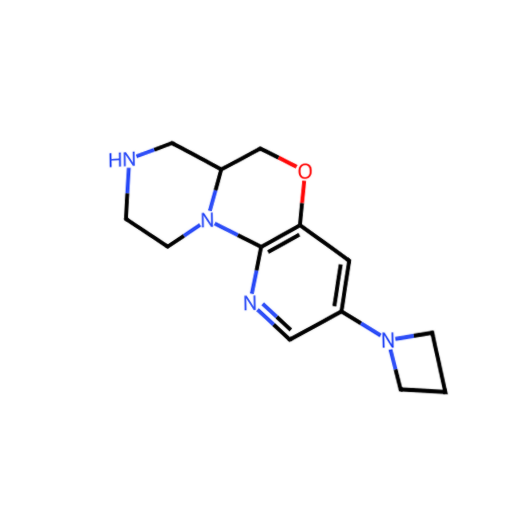 c1nc2c(cc1N1CCC1)OCC1CNCCN21